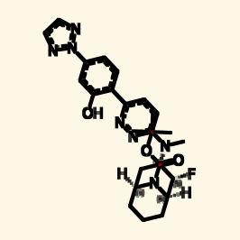 CN(c1ccc(-c2ccc(-n3nccn3)cc2O)nn1)[C@H]1C[C@@H]2CCC[C@H]([C@H]1F)N2C(=O)OC(C)(C)C